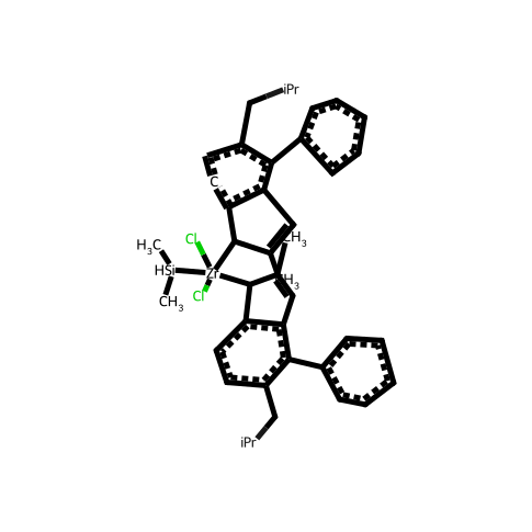 CC1=Cc2c(ccc(CC(C)C)c2-c2ccccc2)[CH]1[Zr]([Cl])([Cl])([CH]1C(C)=Cc2c1ccc(CC(C)C)c2-c1ccccc1)[SiH](C)C